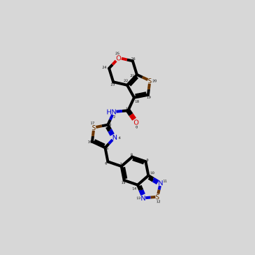 O=C(Nc1nc(Cc2ccc3nsnc3c2)cs1)c1csc2c1CCOC2